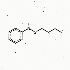 CCCCSNc1ccccc1